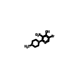 CN1CCN(c2ncc(Br)c(O)c2[N+](=O)[O-])CC1